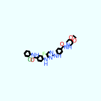 O=C(Nc1ccccc1Cl)c1ccc(Nc2nc(Nc3ccc(C(=O)NN4CCC5(CC4)OCCO5)cc3)ncc2F)cc1